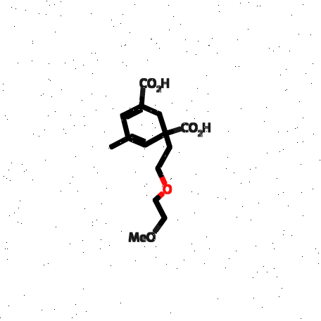 COCCOCCC1(C(=O)O)C=C(C)C=C(C(=O)O)C1